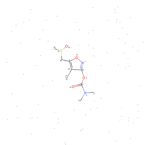 CN(C)C(=O)Oc1noc(C[S+](C)[O-])c1Cl